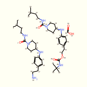 CC(C)CCNC(=O)N1CCC(Nc2ccc(CCN)cc2)CC1.CC(C)CCNC(=O)N1CCC(Nc2ccc(CCOC(=O)NC(C)(C)C)cc2)CC1.O=CO